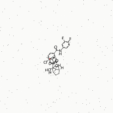 Cc1ccnc(C(O)[C@@]2(O)[C@@H]3CC[C@H]2C[C@H](S(=O)(=O)c2cc(C(=O)Nc4ccc(F)c(F)c4)ccc2Cl)C3)c1